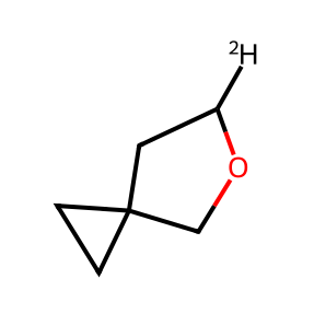 [2H]C1CC2(CC2)CO1